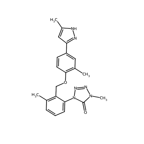 Cc1cc(-c2ccc(OCc3c(C)cccc3-n3nnn(C)c3=O)c(C)c2)n[nH]1